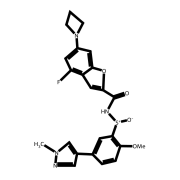 COc1ccc(-c2cnn(C)c2)cc1[S+]([O-])NC(=O)c1cc2c(F)cc(N3CCC3)cc2o1